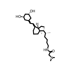 C[C@H](CCCCNC(=O)CN(C)C)[C@H]1CC[C@H]2/C(=C/C=C3C[C@@H](O)C[C@H](O)C3)CCC[C@]12C